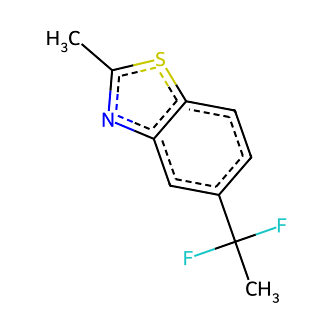 Cc1nc2cc(C(C)(F)F)ccc2s1